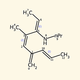 C=C(/C=C(C)\C(=C/C)NCCC)/C=C/C